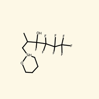 CC(C[SiH]1CCCCO1)C(O)(F)C(F)(F)C(F)(F)C(F)(F)F